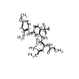 C=CC(=O)N/C(C=C(C)C)=C(/C)Nc1nc(Nc2cnc(OC)cc2C)ncc1C(F)(F)F